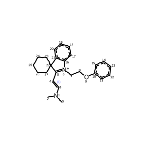 CN(C)/C=C/C1=[N+](CCOc2ccccc2)c2ccccc2C12CCCCC2